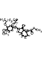 CCOc1nc([C@H](CS(C)(=O)=O)N2Cc3cccc(NC(=O)CC)c3C2=O)ccc1OC